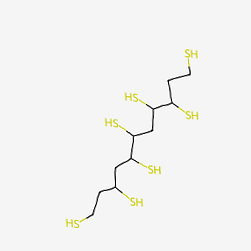 SCCC(S)CC(S)C(S)CC(S)C(S)CCS